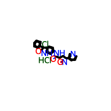 Cl.NC(=O)C(Cl)(c1ccccc1)c1ccc(NC(=O)C2CC(c3cccnc3)=NO2)cc1